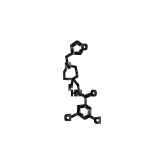 O=C(NCC1(F)CCN(Cc2ccoc2)CC1)c1cc(Cl)cc(Cl)c1